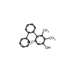 Cc1cc(O)c(C)c(C)c1-c1ccccc1-c1ccccc1